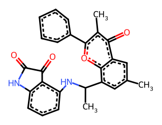 Cc1cc(C(C)Nc2cccc3c2C(=O)C(=O)N3)c2oc(-c3ccccc3)c(C)c(=O)c2c1